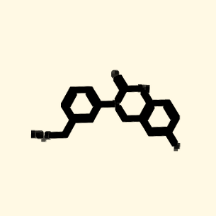 O=C(O)Cc1cccc(N2Cc3cc(F)ccc3NC2=O)c1